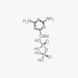 COc1nc(N)nc(N)n1.O=P(O)(O)OP(=O)(O)O